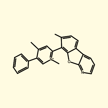 Cc1cc(-c2c(C)ccc3c2oc2ncccc23)[n+](C)cc1-c1ccccc1